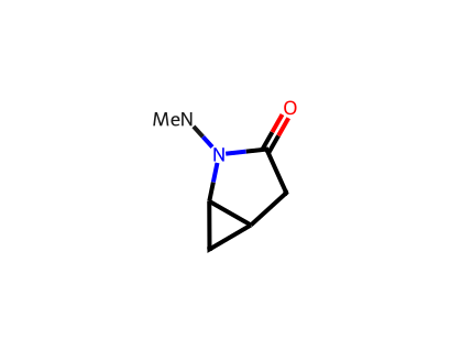 CNN1C(=O)CC2CC21